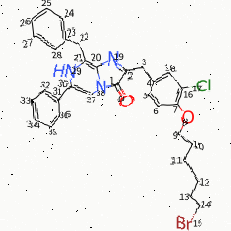 O=c1c(Cc2ccc(OCCCCCCBr)c(Cl)c2)nc2c(Cc3ccccc3)[nH]c(-c3ccccc3)cn1-2